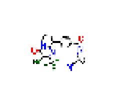 CN(CC1(C#N)CC1)C(=O)c1ccc(-c2cccn3c(=O)c(Br)c(C(F)(F)F)nc23)cc1